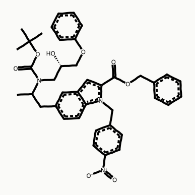 CC(Cc1ccc2c(c1)cc(C(=O)OCc1ccccc1)n2Cc1ccc([N+](=O)[O-])cc1)N(C[C@H](O)COc1ccccc1)C(=O)OC(C)(C)C